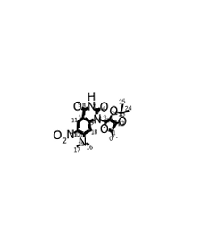 [CH2]c1oc(-n2c(=O)[nH]c(=O)c3cc([N+](=O)[O-])c(N(C)C)cc32)c2c1OC(C)(C)O2